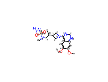 COc1cc2ncnc(N3CC(C(C)CN(C)S(N)(=O)=O)C3)c2cc1OC